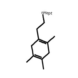 CCCCCCCCCC1=C(C)CC(C)=C(C)C1